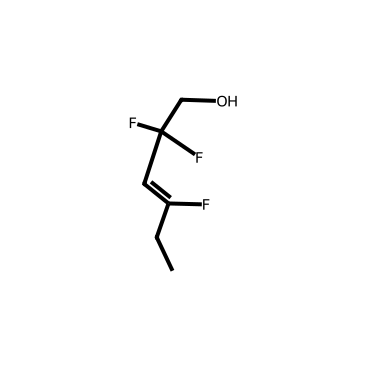 CC/C(F)=C/C(F)(F)CO